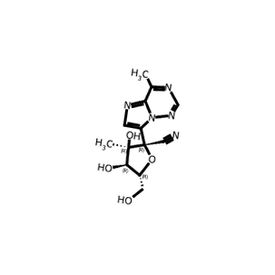 Cc1ncnn2c([C@]3(C#N)O[C@H](CO)[C@@H](O)[C@@]3(C)O)cnc12